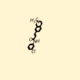 CN1CCc2ccc(/C=C/C(=O)Nc3cccc(Cl)c3)cc2C1